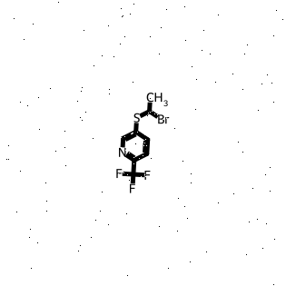 CC(Br)Sc1ccc(C(F)(F)F)nc1